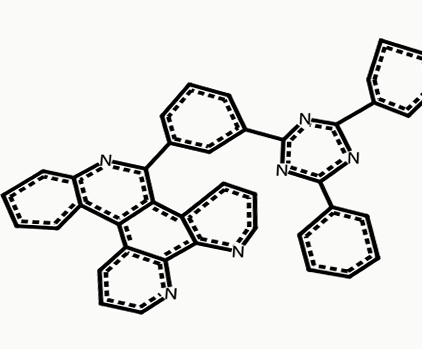 c1ccc(-c2nc(-c3ccccc3)nc(-c3cccc(-c4nc5ccccc5c5c6cccnc6c6ncccc6c45)c3)n2)cc1